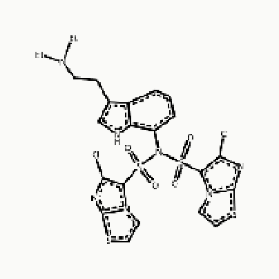 CCN(CC)CCc1c[nH]c2c(N(S(=O)(=O)c3c(Cl)nc4sccn34)S(=O)(=O)c3c(Cl)nc4sccn34)cccc12